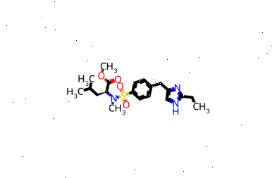 CCc1nc(Cc2ccc(S(=O)(=O)N(C)[C@@H](CC(C)C)C(=O)OC)cc2)c[nH]1